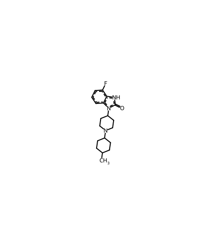 CC1CCC(N2CCC(n3c(=O)[nH]c4c(F)cccc43)CC2)CC1